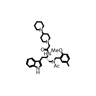 COc1ccc(C)cc1CN(C[C@H](Cc1c[nH]c2ccccc12)NC(=O)CN1CCC(N2CCCCC2)CC1)C(C)=O